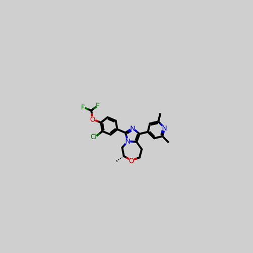 Cc1cc(-c2nc(-c3ccc(OC(F)F)c(Cl)c3)n3c2CCO[C@H](C)C3)cc(C)n1